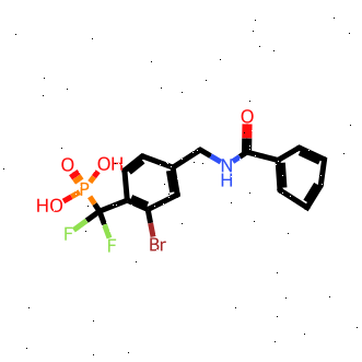 O=C(NCc1ccc(C(F)(F)P(=O)(O)O)c(Br)c1)c1ccccc1